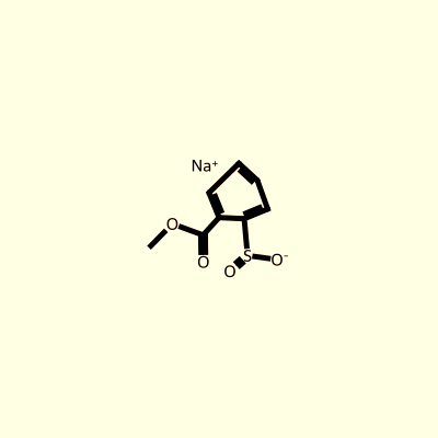 COC(=O)c1ccccc1S(=O)[O-].[Na+]